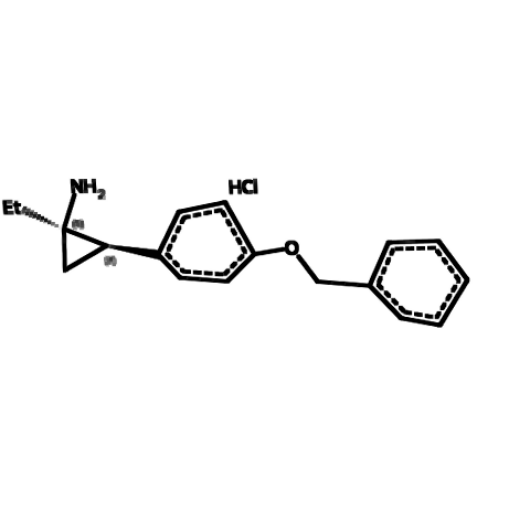 CC[C@@]1(N)C[C@@H]1c1ccc(OCc2ccccc2)cc1.Cl